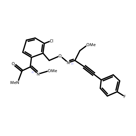 CNC(=O)/C(=N/OC)c1cccc(Cl)c1CO/N=C(/C#Cc1ccc(F)cc1)COC